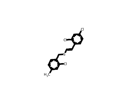 Cc1ccc(CSC=Cc2ccc(Cl)cc2Cl)c(Cl)c1